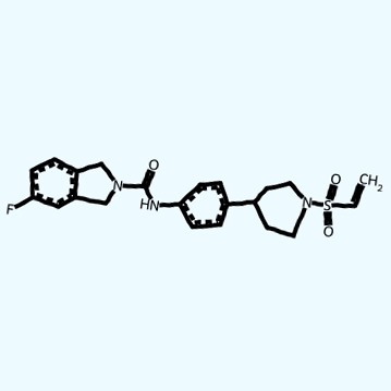 C=CS(=O)(=O)N1CCC(c2ccc(NC(=O)N3Cc4ccc(F)cc4C3)cc2)CC1